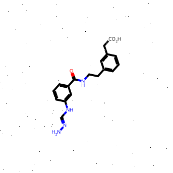 NN=CNc1cccc(C(=O)NCCc2cccc(CC(=O)O)c2)c1